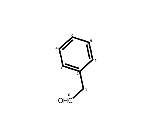 O=[13CH]Cc1ccccc1